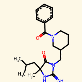 CC(C)CC1(C)NC(=N)N(CC2CCCN(C(=O)c3ccccc3)C2)C1=O